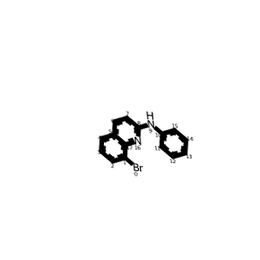 Brc1cccc2ccc(Nc3ccccc3)nc12